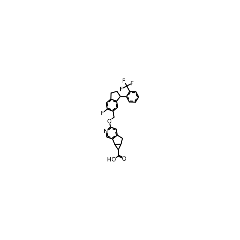 O=C(O)C1C2Cc3cc(OCc4cc5c(cc4F)CCC5c4ccccc4C(F)(F)F)ncc3C21